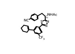 CC(=O)N[C@@H](Cc1ccc(C#N)cc1)c1nnc(-c2cc(C3=CCCCC3)cc(C(F)(F)F)c2)s1